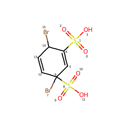 O=S(=O)(O)C1=CC(Br)(S(=O)(=O)O)C=CC1Br